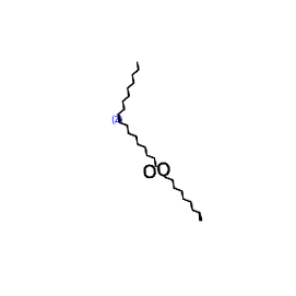 C=CCCCCCCCOC(=O)CCCCCCC/C=C\CCCCCCCC